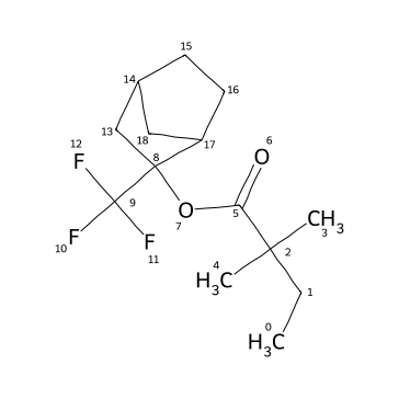 CCC(C)(C)C(=O)OC1(C(F)(F)F)CC2CCC1C2